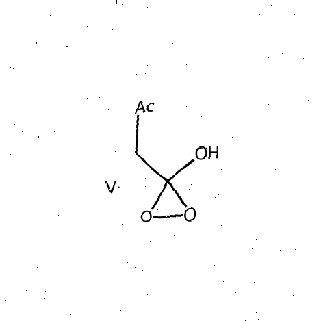 CC(=O)CC1(O)OO1.[V]